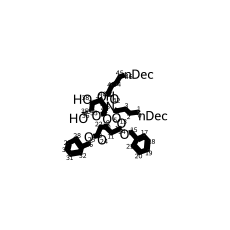 CCCCCCCCCCCCCC(=O)N[C@H]1[C@@H](OC(CC(=O)OCc2ccccc2)CC(=O)OCc2ccccc2)O[C@H](CO)[C@@H](O)[C@@H]1OC(=O)CCCCCCCCCCCCC